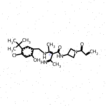 C=CC(=O)N1CC(NC(=O)/C(C(C)=N)=C(\C)NCc2cc(C(C)(C)C)c(Cl)cc2O)C1